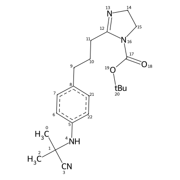 CC(C)(C#N)Nc1ccc(CCCC2=NCCN2C(=O)OC(C)(C)C)cc1